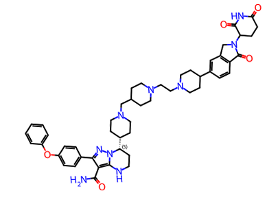 NC(=O)c1c(-c2ccc(Oc3ccccc3)cc2)nn2c1NCC[C@H]2C1CCN(CC2CCN(CCN3CCC(c4ccc5c(c4)CN(C4CCC(=O)NC4=O)C5=O)CC3)CC2)CC1